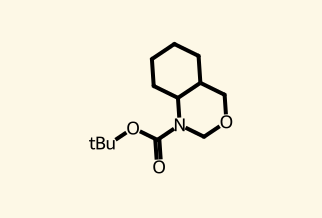 CC(C)(C)OC(=O)N1COCC2CCCCC21